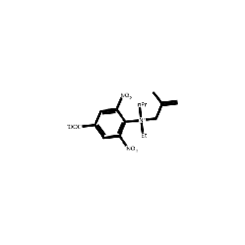 C=C(C)C[N+](CC)(CCC)c1c([N+](=O)[O-])cc(C(=O)[O-])cc1[N+](=O)[O-]